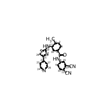 Cc1ccc(C(=O)Nc2ccc(C#N)c(C#N)c2)cc1Nc1nc(-c2ccncc2)cs1